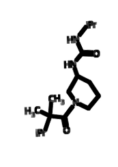 CC(C)NC(=O)NC1CCCN(C(=O)C(C)(C)C(C)C)C1